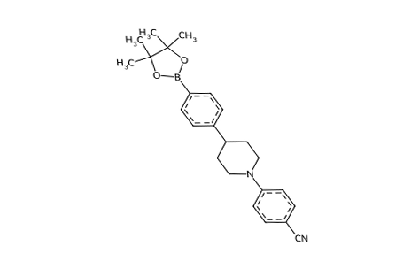 CC1(C)OB(c2ccc(C3CCN(c4ccc(C#N)cc4)CC3)cc2)OC1(C)C